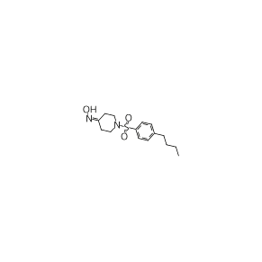 CCCCc1ccc(S(=O)(=O)N2CCC(=NO)CC2)cc1